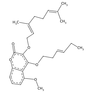 CCC=CCCOc1c(OC/C=C(\C)CCC=C(C)C)c(=O)oc2cccc(OC)c12